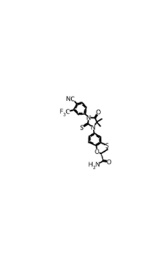 CC1(C)C(=O)N(c2ccc(C#N)c(C(F)(F)F)c2)C(=S)N1c1ccc2c(c1)SC[C@@H](C(N)=O)O2